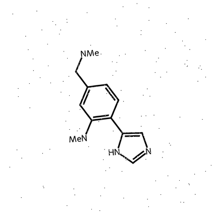 CNCc1ccc(-c2cnc[nH]2)c(NC)c1